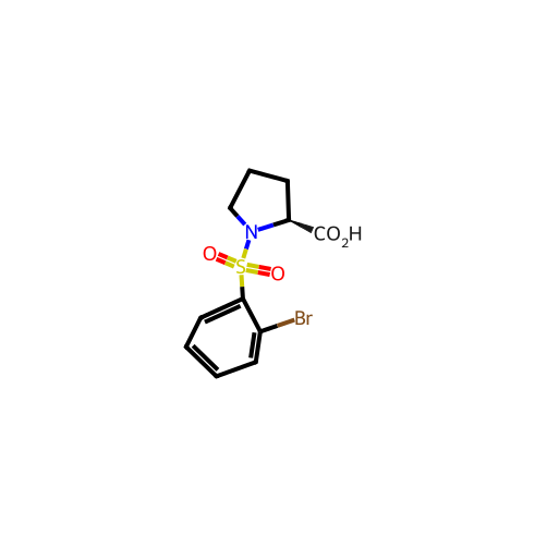 O=C(O)[C@@H]1CCCN1S(=O)(=O)c1ccccc1Br